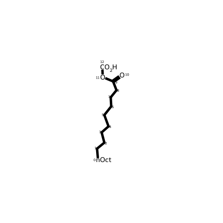 CCCCCCCCCCCCCCCCC(=O)OC(=O)O